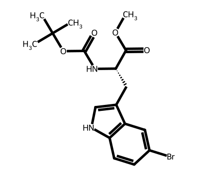 COC(=O)[C@H](Cc1c[nH]c2ccc(Br)cc12)NC(=O)OC(C)(C)C